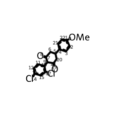 COc1ccc(C2CC(=O)C(c3ccc(Cl)cc3Cl)C(=O)C2)cc1